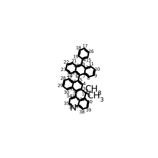 CC1(C)c2cc(-c3c4ccccc4c(-c4ccccc4)c4ccccc34)c3ccccc3c2-c2ccnc3cccc1c23